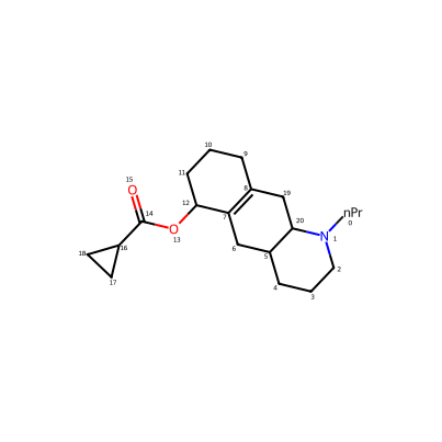 CCCN1CCCC2CC3=C(CCCC3OC(=O)C3CC3)CC21